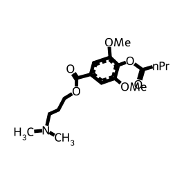 CCCC(=O)Oc1c(OC)cc(C(=O)OCCCN(C)C)cc1OC